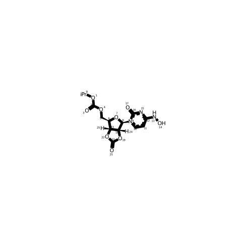 CC(C)OC(=O)OC[C@H]1O[C@@H](n2ccc(NO)nc2=O)[C@@H]2OC(=O)O[C@@H]21